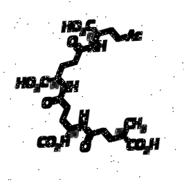 CC(=O)CC[C@H](NC(=O)CC[C@H](NC(=O)CC[C@H](NC(=O)CC[C@H](C)C(=O)O)C(=O)O)C(=O)O)C(=O)O